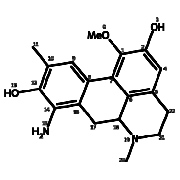 COc1c(O)cc2c3c1-c1cc(C)c(O)c(N)c1CC3N(C)CC2